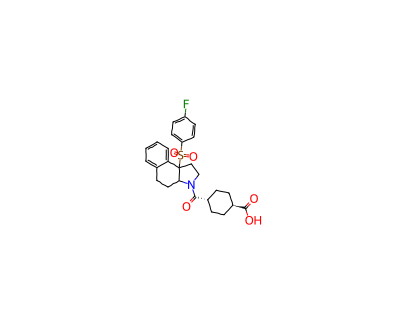 O=C(O)[C@H]1CC[C@H](C(=O)N2CCC3(S(=O)(=O)c4ccc(F)cc4)c4ccccc4CCC23)CC1